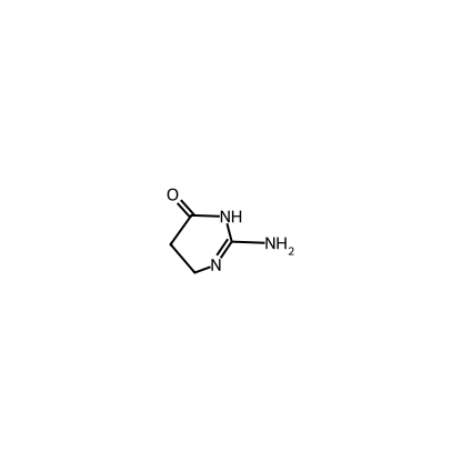 NC1=NCCC(=O)N1